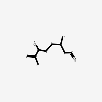 C=C(C)C(Cl)CCC(C)CC=O